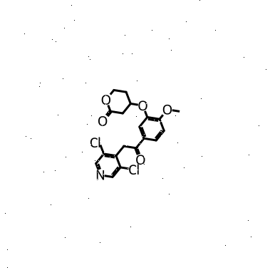 COc1ccc(C(=O)Cc2c(Cl)cncc2Cl)cc1OC1CCOC(=O)C1